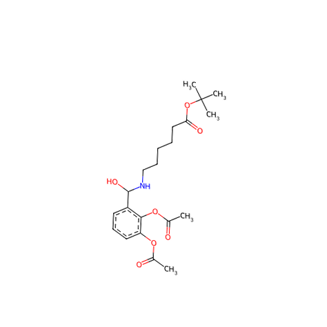 CC(=O)Oc1cccc(C(O)NCCCCCC(=O)OC(C)(C)C)c1OC(C)=O